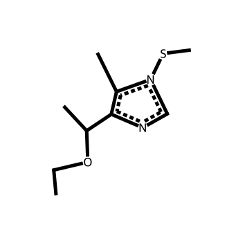 CCOC(C)c1ncn(SC)c1C